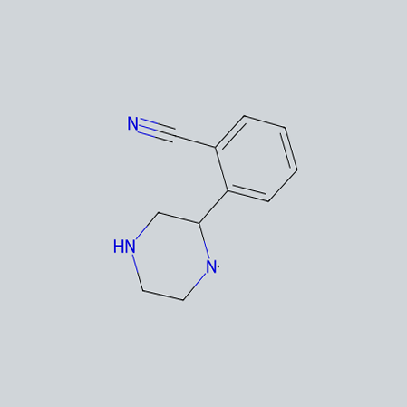 N#Cc1ccccc1C1CNCC[N]1